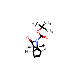 CC(C)(C)OC(=O)N1C(=O)[C@@H]2[C@H]1[C@H]1C=C[C@@H]2C1